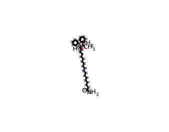 CC(C)(C)[Si](OCCCCCCCC/C=C/CCCCCCCC(N)=O)(c1ccccc1)c1ccccc1